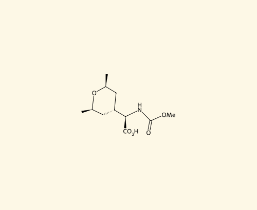 COC(=O)N[C@@H](C(=O)O)[C@@H]1C[C@@H](C)O[C@@H](C)C1